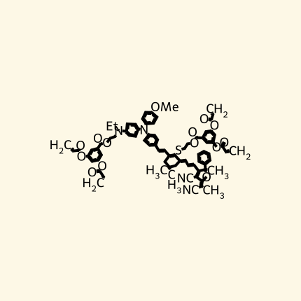 C=CC(=O)Oc1cc(OC(=O)C=C)cc(C(=O)OCCSC2=C(/C=C/c3ccc(N(c4ccc(OC)cc4)c4ccc(N(CC)CCOC(=O)c5cc(OC(=O)C=C)cc(OC(=O)C=C)c5)cc4)cc3)CC(C)(C)C/C2=C\C=C\C2=C(C#N)C(=C(/C)C#N)/OC2(C)c2ccccc2)c1